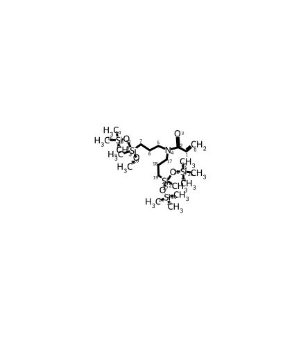 C=CC(=O)N(CCC[Si](C)(OC)O[Si](C)(C)C)CCC[Si](C)(O[Si](C)(C)C)O[Si](C)(C)C